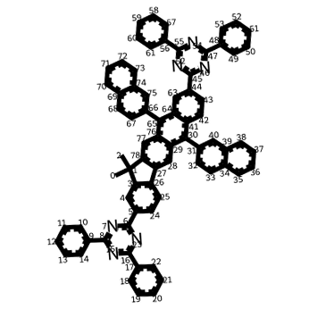 CC1(C)c2cc(-c3nc(-c4ccccc4)nc(-c4ccccc4)n3)ccc2-c2cc3c(-c4ccc5ccccc5c4)c4ccc(-c5nc(-c6ccccc6)nc(-c6ccccc6)n5)cc4c(-c4ccc5ccccc5c4)c3cc21